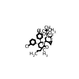 C=CC[C@@]1(C)C[C@H](c2cccc(Cl)c2)[C@@H](c2ccc(Cl)cc2)N(C(CN(C(F)F)S(=O)(=O)C(C)(C)C)C2CC2)C1=O